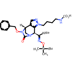 CN/C(=N\O[Si](C)(C)C(C)(C)C)[C@@H]1c2c(cnn2CCCCNC(=O)O)[C@@H]2CN1C(=O)N2OCc1ccccc1